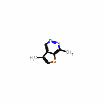 Cc1csc2c(C)nncc12